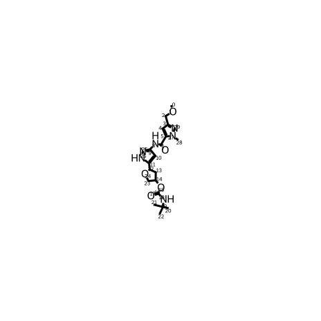 COCc1cc(C(=O)Nc2cc(C3CC(OC(=O)NC(C)(C)C)CO3)[nH]n2)n(C)n1